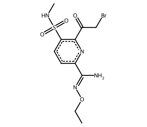 CCO/N=C(\N)c1ccc(S(=O)(=O)NC)c(C(=O)CBr)n1